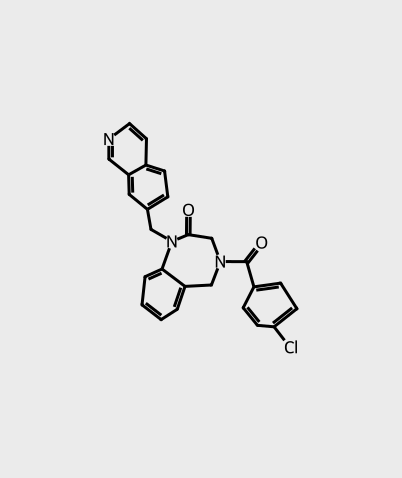 O=C(c1ccc(Cl)cc1)N1CC(=O)N(Cc2ccc3ccncc3c2)c2ccccc2C1